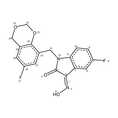 O=C1/C(=N\O)c2cc(F)ccc2N1Cc1cc(F)cc2c1OCOC2